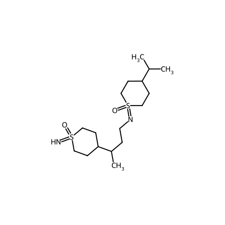 CC(C)C1CCS(=O)(=NCCC(C)C2CCS(=N)(=O)CC2)CC1